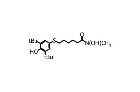 CN(O)C(=O)CCCCCSc1cc(C(C)(C)C)c(O)c(C(C)(C)C)c1